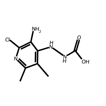 Cc1nc(Cl)c(N)c(NNC(=O)O)c1C